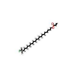 C=CC(=O)OCCCCCCCCCCCCCCCCCCCC[Si](C)(C)F